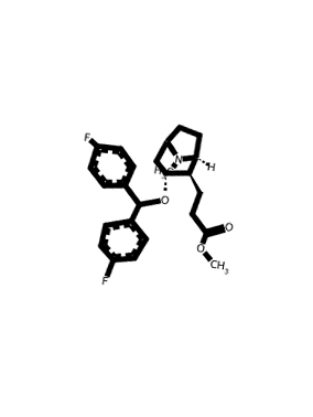 COC(=O)CC[C@H]1[C@H](OC(c2ccc(F)cc2)c2ccc(F)cc2)CC2CC[C@@H]1N2C